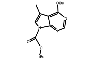 CC(C)COc1ncnc2c1c(I)cn2C(=O)OC(C)(C)C